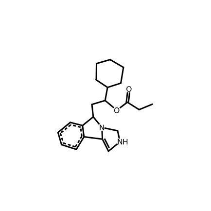 CCC(=O)OC(CC1c2ccccc2C2=CNCN21)C1CCCCC1